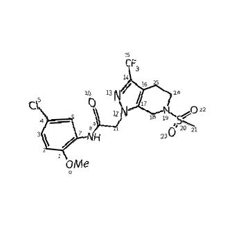 COc1ccc(Cl)cc1NC(=O)Cn1nc(C(F)(F)F)c2c1CN(S(C)(=O)=O)CC2